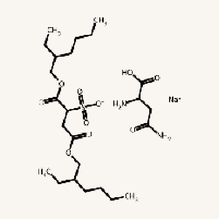 CCCCC(CC)COC(=O)CC(C(=O)OCC(CC)CCCC)S(=O)(=O)[O-].NC(=O)CC(N)C(=O)O.[Na+]